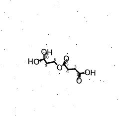 O=C(O)CCC(=O)OCCC(O)O